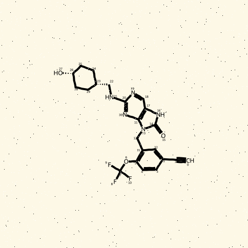 C#Cc1ccc(OC(F)(F)F)c(Cn2c(=O)[nH]c3cnc(NC[C@H]4CC[C@@H](O)CC4)nc32)c1